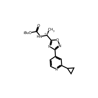 CC(C)COC(=O)N[C@@H](C)c1nc(-c2ccnc(C3CC3)c2)no1